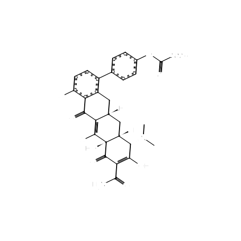 CNC(=O)Oc1ccc(-c2ccc(O)c3c2C[C@@H]2C[C@@H]4[C@H](N(C)C)C(O)=C(C(N)=O)C(=O)[C@]4(O)C(O)=C2C3=O)cc1